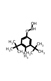 Cc1c(C(C)(C)C)cc(OBO)cc1C(C)(C)C